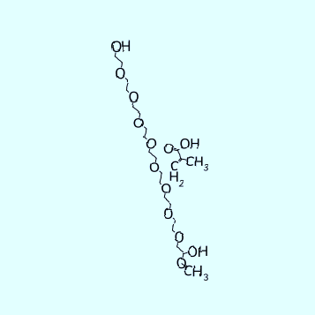 C=C(C)C(=O)O.COC(O)COCCOCCOCCOCCOCCOCCOCCOCCO